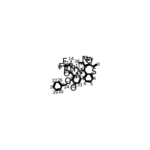 C=C1Sc2ccccc2C(N2CN([C@H](C)C(F)(F)F)C(=O)c3c(OCc4ccccc4)c(=O)ccn32)c2c(C)noc21